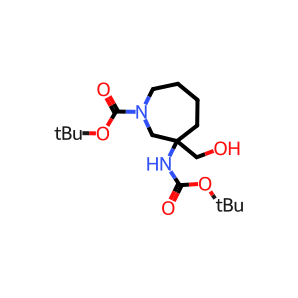 CC(C)(C)OC(=O)NC1(CO)CCCCN(C(=O)OC(C)(C)C)C1